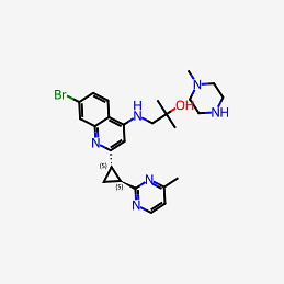 CN1CCNCC1.Cc1ccnc([C@H]2C[C@@H]2c2cc(NCC(C)(C)O)c3ccc(Br)cc3n2)n1